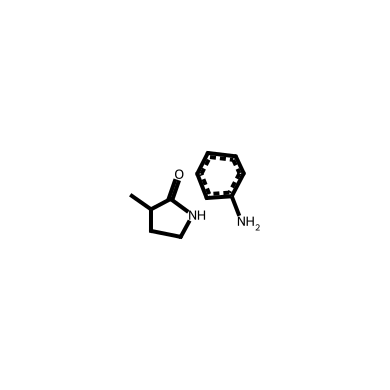 CC1CCNC1=O.Nc1ccccc1